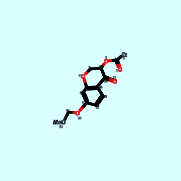 CCC(=O)OC1COc2cc(OCOC)ccc2C1=O